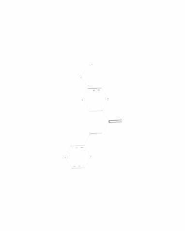 C=C(OCc1ccccc1)c1ccc(COC(C)=O)cc1